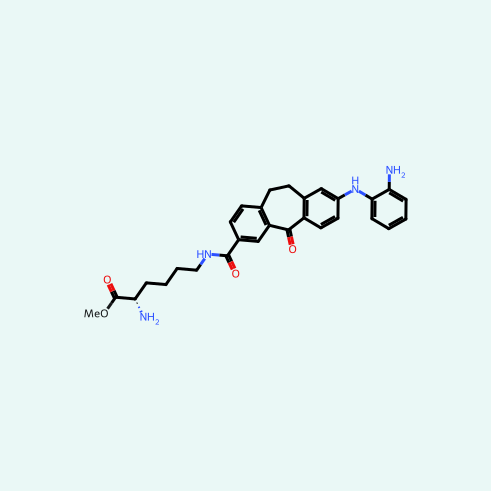 COC(=O)[C@@H](N)CCCCNC(=O)c1ccc2c(c1)C(=O)c1ccc(Nc3ccccc3N)cc1CC2